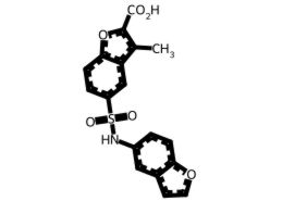 Cc1c(C(=O)O)oc2ccc(S(=O)(=O)Nc3ccc4occc4c3)cc12